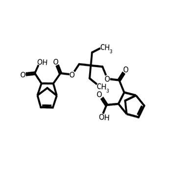 CCC(CC)(COC(=O)C1C2C=CC(C2)C1C(=O)O)COC(=O)C1C2C=CC(C2)C1C(=O)O